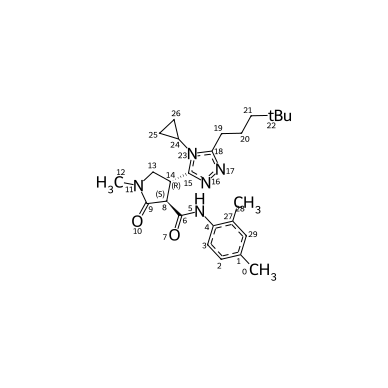 Cc1ccc(NC(=O)[C@H]2C(=O)N(C)C[C@@H]2c2nnc(CCCC(C)(C)C)n2C2CC2)c(C)c1